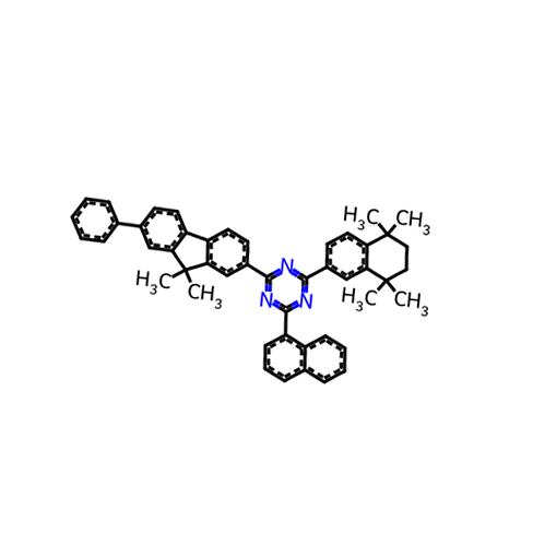 CC1(C)CCC(C)(C)c2cc(-c3nc(-c4ccc5c(c4)C(C)(C)c4cc(-c6ccccc6)ccc4-5)nc(-c4cccc5ccccc45)n3)ccc21